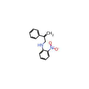 C=C(CNc1ccccc1[N+](=O)[O-])c1ccccc1